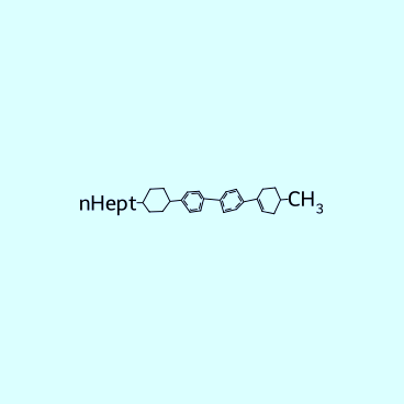 CCCCCCCC1CCC(c2ccc(-c3ccc(C4=CCC(C)CC4)cc3)cc2)CC1